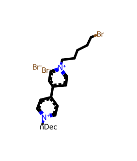 CCCCCCCCCC[n+]1ccc(-c2cc[n+](CCCCCBr)cc2)cc1.[Br-].[Br-]